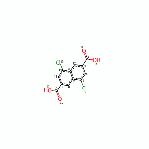 O=C(O)c1cc(Cl)c2cc(C(=O)O)cc(Cl)c2c1